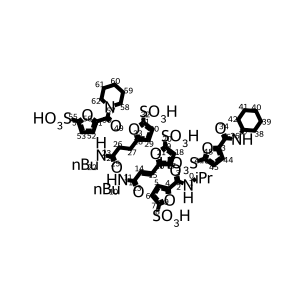 CC(C)NC(=O)c1ccc(S(=O)(=O)O)o1.CCCCNC(=O)C=Cc1ccc(S(=O)(=O)O)o1.CCCCNC(=O)CCc1ccc(S(=O)(=O)O)o1.O=C(NC1CCCCC1)c1ccc(S(=O)(=O)O)o1.O=C(c1ccc(S(=O)(=O)O)o1)N1CCCCC1